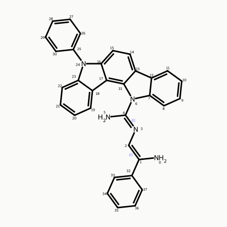 N/C(=C\N=C(/N)n1c2ccccc2c2ccc3c(c4ccccc4n3-c3ccccc3)c21)c1ccccc1